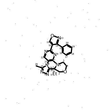 CC[C@@]12COCCN1c1nc(-c3conc3-c3ccccc3)ncc1-n1c(C)nnc12